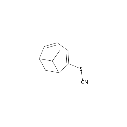 CC1C2C=CC=C(SC#N)C1C2